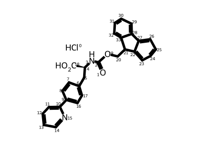 Cl.O=C(N[C@@H](Cc1ccc(-c2ccccn2)cc1)C(=O)O)OCC1c2ccccc2-c2ccccc21